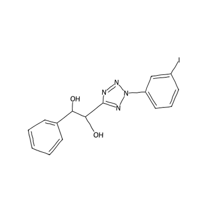 OC(c1ccccc1)C(O)c1nnn(-c2cccc(I)c2)n1